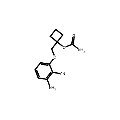 N#Cc1c(N)cccc1OCC1(OC(N)=O)CCC1